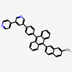 Cc1ccc2ccc(-c3c4ccccc4c(-c4ccc(-c5cncc(-c6ccncc6)c5)cc4)c4ccccc34)cc2c1